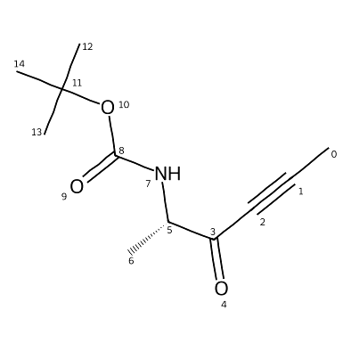 CC#CC(=O)[C@H](C)NC(=O)OC(C)(C)C